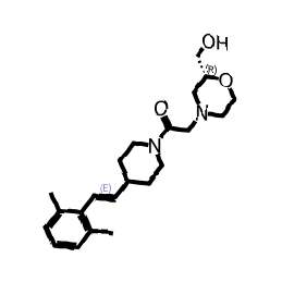 Cc1cccc(C)c1/C=C/C1CCN(C(=O)CN2CCO[C@@H](CO)C2)CC1